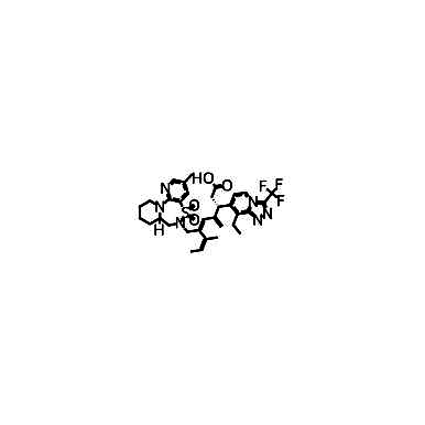 C=C(/C=C(CN1C[C@@H]2CCCCN2c2ncc(C)cc2S1(=O)=O)\C(C)=C/C)[C@H](CC(=O)O)c1ccn2c(C(F)(F)F)nnc2c1CC